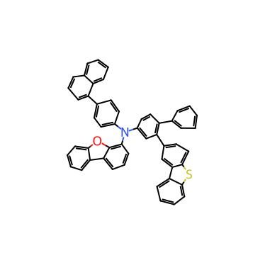 c1ccc(-c2ccc(N(c3ccc(-c4cccc5ccccc45)cc3)c3cccc4c3oc3ccccc34)cc2-c2ccc3sc4ccccc4c3c2)cc1